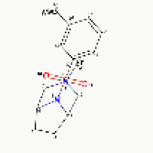 CCN1CC2CCC(C1)N2S(=O)(=O)c1cccc(SC)c1